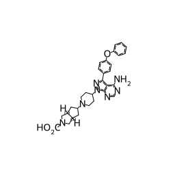 Nc1ncnc2c1c(-c1ccc(Oc3ccccc3)cc1)nn2C1CCN(C2C[C@@H]3CN(C(=O)O)C[C@H]3C2)CC1